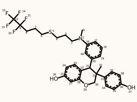 CN(CCCSCCCC(F)(F)C(F)(F)F)c1cccc(C2c3ccc(O)cc3OCC2(C)c2ccc(O)cc2)c1